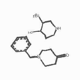 CCCCC1CNCCC1O.O=C1CCN(Cc2ccccc2)CC1